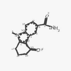 Cn1c2c(c3cc(C(N)=O)ccc31)C(=O)CCC2